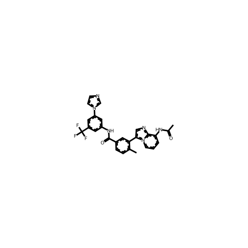 CC(=O)Nc1cccn2c(-c3cc(C(=O)Nc4cc(-n5ccnc5)cc(C(F)(F)F)c4)ccc3C)cnc12